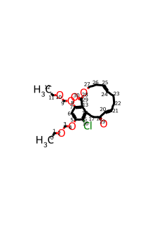 CCOCOc1cc(OCOCC)c2c(c1Cl)CC(=O)/C=C/CC/C=C/CCOC2=O